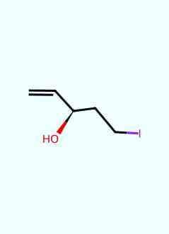 C=C[C@H](O)CCI